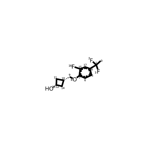 CC(F)(F)c1ccc(OC[C@H]2C[C@@H](O)C2)c(F)c1